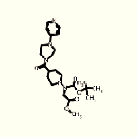 COC(=O)CN(C(=O)OC(C)(C)C)N1CCC(C(=O)N2CCN(c3ccncc3)CC2)CC1